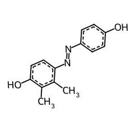 Cc1c(O)ccc(/N=N/c2ccc(O)cc2)c1C